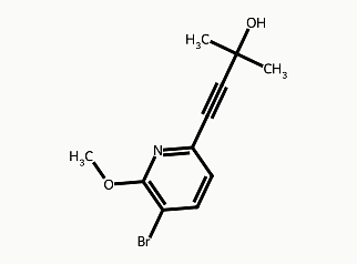 COc1nc(C#CC(C)(C)O)ccc1Br